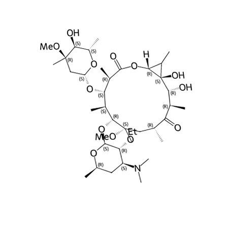 CCO[C@H]1[C@H](O[C@@H]2[C@@H](C)[C@H](O[C@@H]3C[C@@](C)(OC)[C@@H](O)[C@H](C)O3)[C@@H](C)C(=O)O[C@@H]3C(C)[C@]3(O)[C@H](O)[C@@H](C)C(=O)[C@H](C)C[C@]2(C)OC)O[C@H](C)C[C@@H]1N(C)C